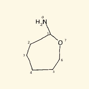 NC1CCCCCO1